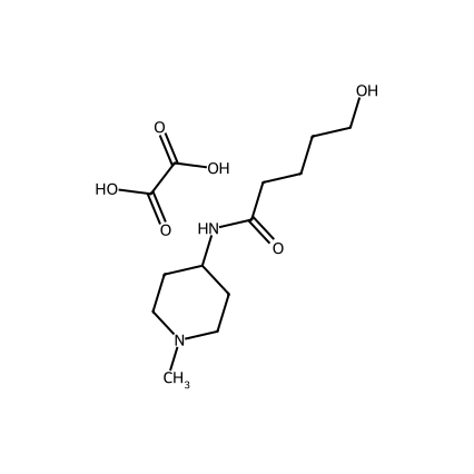 CN1CCC(NC(=O)CCCCO)CC1.O=C(O)C(=O)O